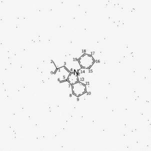 C=C(C)/C=c1\c(=C)c2ccccc2n1-c1ccccc1